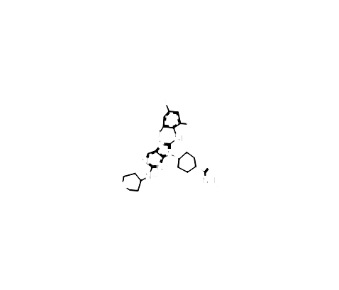 NC(=O)[C@H]1CC[C@@H](n2c(Nc3c(Cl)cc(Cl)cc3Cl)nc3cnc(NC4CCOCC4)nc32)CC1